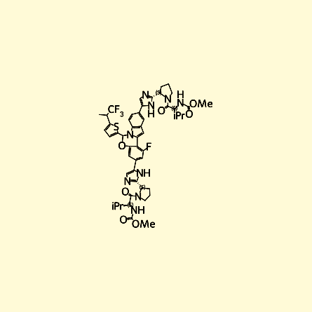 COC(=O)N[C@H](C(=O)N1CCC[C@H]1c1ncc(-c2cc(F)c3c(c2)OC(c2ccc(C(C)C(F)(F)F)s2)n2c-3cc3cc(-c4cnc([C@@H]5CCCN5C(=O)[C@@H](NC(=O)OC)C(C)C)[nH]4)ccc32)[nH]1)C(C)C